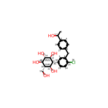 CC(O)c1ccc(Cc2cc([C@H]3[C@H](O)[C@@H](O)[C@H](O)[C@@H](CO)[C@@H]3O)ccc2Cl)cc1